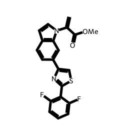 C=C(C(=O)OC)n1ccc2ccc(-c3csc(-c4c(F)cccc4F)n3)cc21